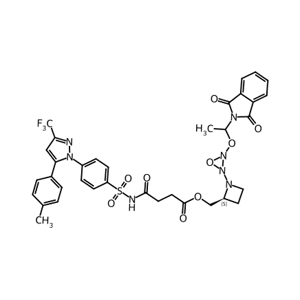 Cc1ccc(-c2cc(C(F)(F)F)nn2-c2ccc(S(=O)(=O)NC(=O)CCC(=O)OC[C@@H]3CCN3n3on3OC(C)N3C(=O)c4ccccc4C3=O)cc2)cc1